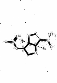 C[S@+]([O-])[C@H]1CO[C@H]2[C@@H]1OC[C@H]2O[N+](=O)[O-]